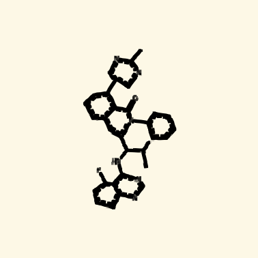 Cc1ncc(-c2cccc3cc(C(Nc4ncnc5cccc(F)c45)C(C)C)n(-c4ccccc4)c(=O)c23)cn1